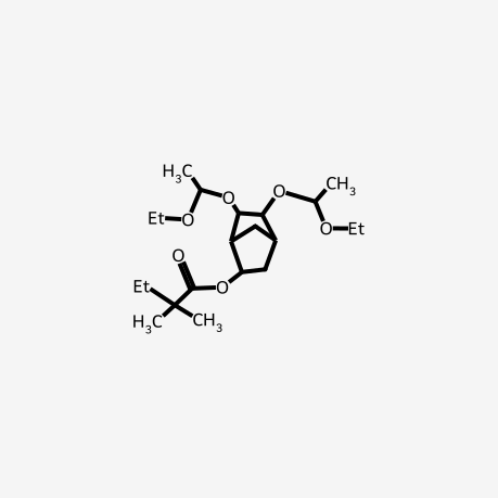 CCOC(C)OC1C2CC(OC(=O)C(C)(C)CC)C(C2)C1OC(C)OCC